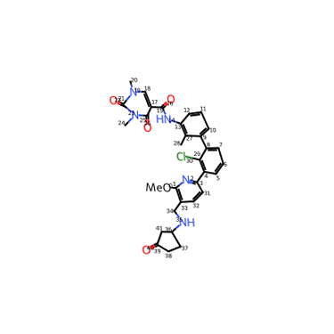 COc1nc(-c2cccc(-c3cccc(NC(=O)c4cn(C)c(=O)n(C)c4=O)c3C)c2Cl)ccc1CNC1CCC(=O)C1